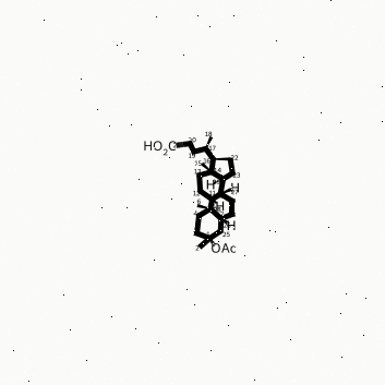 CC(=O)O[C@@]1(C)CC[C@@]2(C)[C@H](CC[C@@H]3[C@@H]2CC[C@]2(C)[C@@H]([C@H](C)CCC(=O)O)CC[C@@H]32)C1